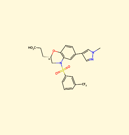 Cn1cc(-c2ccc3c(c2)N(S(=O)(=O)c2cccc(C(F)(F)F)c2)C[C@H](CCC(=O)O)O3)cn1